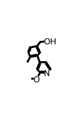 COc1cc(-c2cc(CO)ccc2C)ccn1